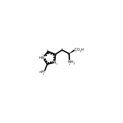 CCCc1nc(C[C@H](N)C(=O)O)c[nH]1